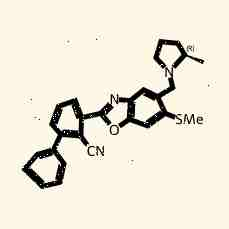 CSc1cc2oc(-c3cccc(-c4ccccc4)c3C#N)nc2cc1CN1CCC[C@H]1C